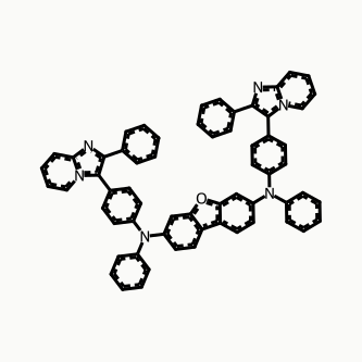 c1ccc(-c2nc3ccccn3c2-c2ccc(N(c3ccccc3)c3ccc4c(c3)oc3cc(N(c5ccccc5)c5ccc(-c6c(-c7ccccc7)nc7ccccn67)cc5)ccc34)cc2)cc1